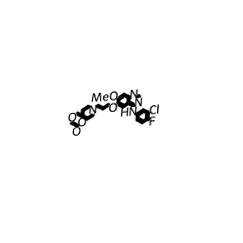 COc1cc2ncnc(Nc3ccc(F)c(Cl)c3)c2cc1OCCCN1CCC2(CC1)COCC(=O)O2